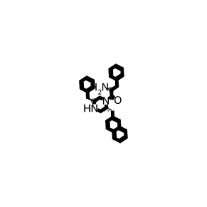 N[C@H](Cc1ccccc1)C(=O)N1C[C@H](Cc2ccccc2)NC[C@H]1Cc1ccc2ccccc2c1